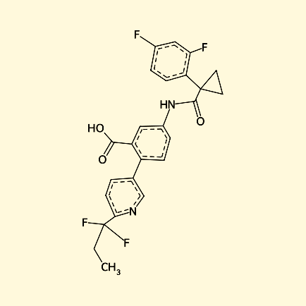 CCC(F)(F)c1ccc(-c2ccc(NC(=O)C3(c4ccc(F)cc4F)CC3)cc2C(=O)O)cn1